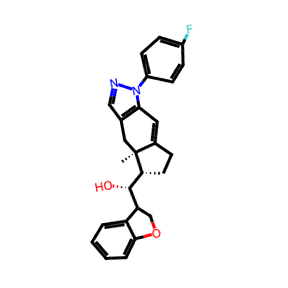 C[C@]12Cc3cnn(-c4ccc(F)cc4)c3C=C1CC[C@@H]2[C@@H](O)C1COc2ccccc21